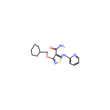 NC(=O)c1c(OCC2CCCCC2)nsc1Nc1ccccn1